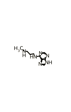 CNCCCNc1ncnc2[nH]cnc12